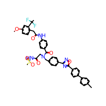 COc1ccc(CC(=O)Nc2ccc(C(=O)N(CC(=O)NS(C)(=O)=O)Cc3ccc(-c4noc(-c5ccc(-c6ccc(C)cc6)cc5)n4)cc3)cc2)c(C(C)(F)F)c1